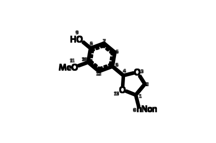 CCCCCCCCCC1COC(c2ccc(O)c(OC)c2)O1